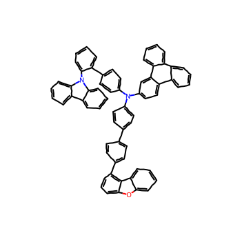 c1ccc(-n2c3ccccc3c3ccccc32)c(-c2ccc(N(c3ccc(-c4ccc(-c5cccc6oc7ccccc7c56)cc4)cc3)c3ccc4c5ccccc5c5ccccc5c4c3)cc2)c1